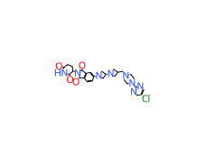 O=C1CCC(N2C(=O)c3ccc(N4CC(N5CC(CN6CCN(c7ncc(Cl)cn7)CC6)C5)C4)cc3C2=O)C(=O)N1